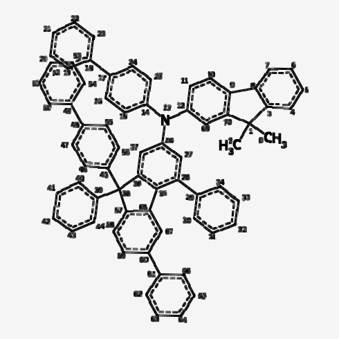 CC1(C)c2ccccc2-c2ccc(N(c3ccc(-c4ccccc4)cc3)c3cc(-c4ccccc4)c4c(c3)C(c3ccccc3)(c3ccc(-c5ccccc5)cc3)c3ccc(-c5ccccc5)cc3-4)cc21